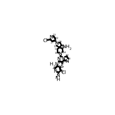 CNc1nccc(Sc2c(N)nc(N3CCC4(CC3)CN(c3ccnc(Cl)c3)C[C@H]4N)n3ccnc23)c1Cl